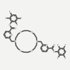 O=C(Oc1c(F)c(F)cc(F)c1F)c1cccc(CN2CCOCCOCCN(Cc3cccc(C(=O)Oc4c(F)c(F)cc(F)c4F)n3)CCOCCOCC2)n1